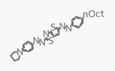 CCCCCCCCc1ccc(N=Nc2cc3sc(N=Nc4ccc(N5CCCC5)cc4)nc3s2)cc1